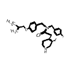 CC(C)COc1ccc(CN(Cc2ccc(F)cc2)C(=O)C[C@@H]2CCNC[C@@H]2F)cc1